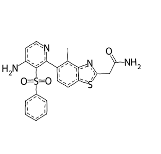 Cc1c(-c2nccc(N)c2S(=O)(=O)c2ccccc2)ccc2sc(CC(N)=O)nc12